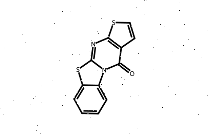 O=c1c2ccsc2nc2sc3ccccc3n12